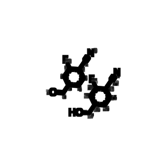 N#Cc1ccc(C=O)cc1F.N#Cc1ccc(CO)cc1F